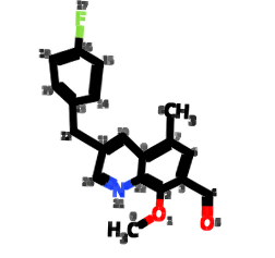 COc1c(C=O)cc(C)c2cc(Cc3ccc(F)cc3)cnc12